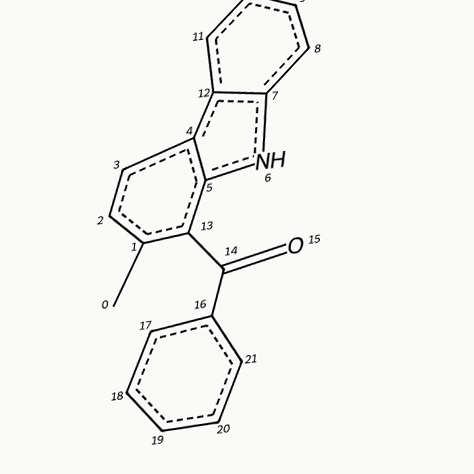 Cc1ccc2c([nH]c3ccccc32)c1C(=O)c1ccccc1